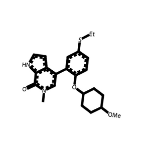 CCSc1ccc(OC2CCC(OC)CC2)c(-c2cn(C)c(=O)c3[nH]ccc23)c1